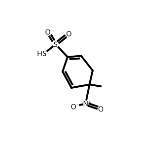 CC1([N+](=O)[O-])C=CC(S(=O)(=O)S)=CC1